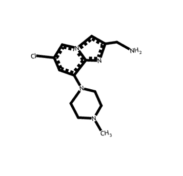 CN1CCN(c2cc(Cl)cn3cc(CN)nc23)CC1